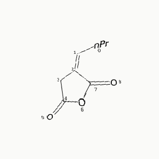 CCCC=C1CC(=O)OC1=O